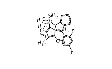 CC1=C(C)C(C)[C]([Zr]([CH3])([CH3])(=[SiH2])[CH]2C=C(c3ccc(F)cc3F)c3ccccc32)=C1C